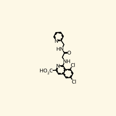 O=C(CNc1nc(C(=O)O)cc2cc(Cl)cc(Cl)c12)NCc1ccccn1